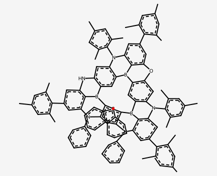 Cc1cc(C)c(-c2cc3c4c(c2)N(c2ccccc2)c2c(sc5ccccc25)B4c2cc4c(cc2N3)N(c2c(C)cc(C)cc2C)c2cc(-c3c(C)cc(C)cc3C)cc3c2B4c2cc4c(cc2O3)N(c2c(C)cc(C)cc2C)c2cc(-c3c(C)cc(C)cc3C)cc3c2B4c2sc4ccccc4c2N3c2ccccc2)c(C)c1